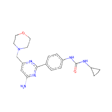 Nc1cc(CN2CCOCC2)nc(-c2ccc(NC(=O)NC3CC3)cc2)n1